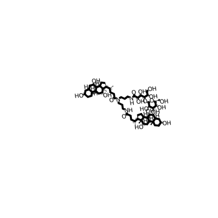 C[C@H](CCC(=O)NCCCN(CCCNC(=O)[C@H](O)[C@@H](O)[C@H](OC1O[C@H](CO)[C@H](O)[C@H](O)[C@H]1O)[C@H](O)CO)C(=O)CC[C@@H](C)[C@H]1CC[C@H]2[C@@H]3[C@H](O)C[C@@H]4C[C@H](O)CC[C@]4(C)[C@H]3C[C@H](O)[C@]12C)[C@H]1CC[C@H]2[C@@H]3[C@H](O)C[C@@H]4C[C@H](O)CC[C@]4(C)[C@H]3C[C@H](O)[C@]12C